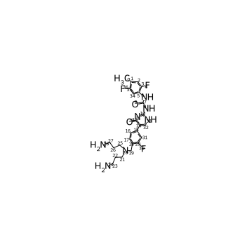 Cc1cc(F)c(NC(=O)Nc2nc(=O)c(-c3ccc(CN(CCCN)CCCN)c(F)c3)c[nH]2)cc1F